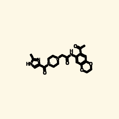 CC(=O)c1cc2c(cc1NC(=O)CN1CCN(C(=O)c3c[nH]c(C)n3)CC1)OCCO2